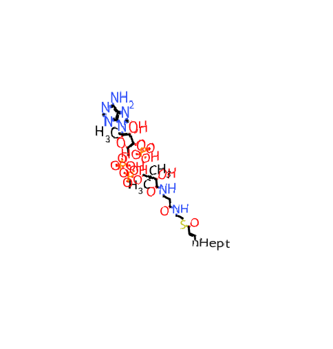 CCCCCCCC=CC(=O)SCCNC(=O)CCNC(=O)C(O)C(C)(C)COP(=O)(O)OP(=O)(O)OCC1OC(C)(n2cnc3c(N)ncnc32)C(O)C1OP(=O)(O)O